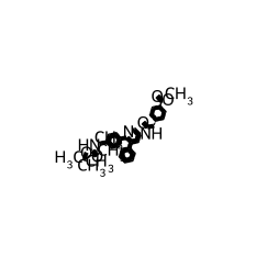 COC(=O)[C@H]1CC[C@H](CC(=O)Nc2cnc(-c3ccc(C(C)(C)NC(=O)OC(C)(C)C)cc3)c(-c3ccccc3)c2)CC1